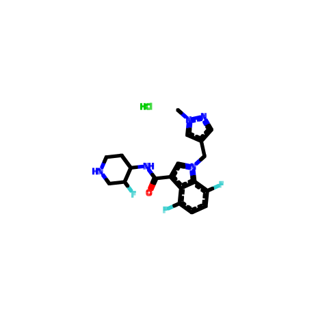 Cl.Cn1cc(Cn2cc(C(=O)NC3CCNCC3F)c3c(F)ccc(F)c32)cn1